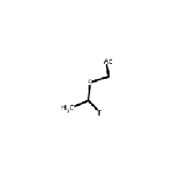 CC(=O)CSC(C)F